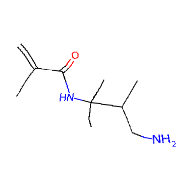 C=C(C)C(=O)NC(C)(C)C(C)CN